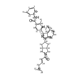 Cc1ccnc(NC(=O)c2ccc(-c3nn(C4CC5CN(C(=O)/C=C/CN(C)C)CC5C4)c4ncnc(N)c34)cc2C)c1